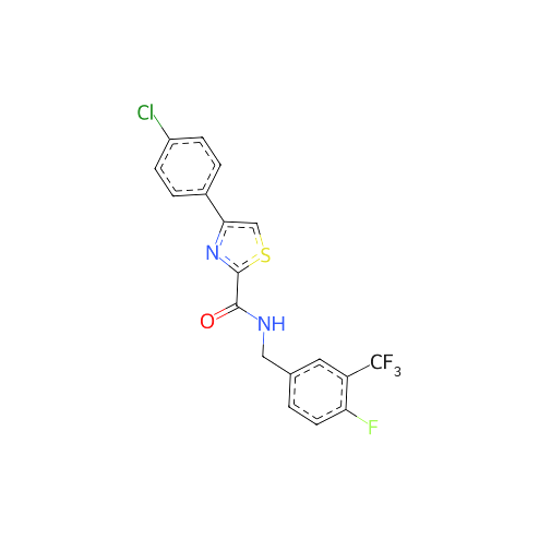 O=C(NCc1ccc(F)c(C(F)(F)F)c1)c1nc(-c2ccc(Cl)cc2)cs1